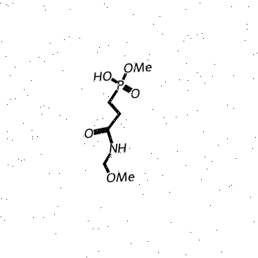 COCNC(=O)CCP(=O)(O)OC